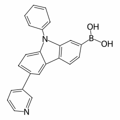 OB(O)c1ccc2c3cc(-c4cccnc4)ccc3n(-c3ccccc3)c2c1